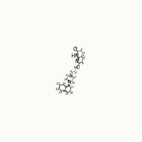 O=C1CCc2ccc(OCCCN3CCN(c4cccc5ccccc45)CC3)nc2N1